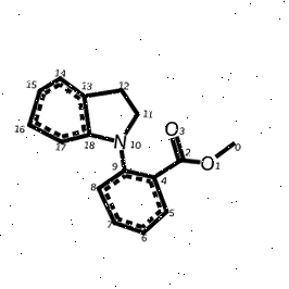 COC(=O)c1ccccc1N1CCc2ccccc21